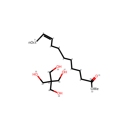 CCCCCCCC/C=C\CCCCCCCC(=O)OC.OCC(CO)(CO)CO